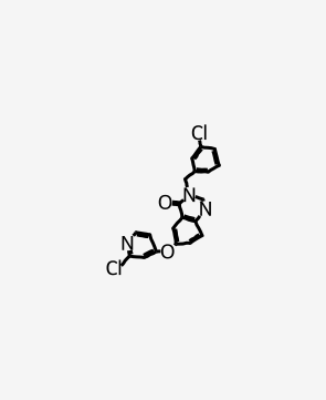 O=c1c2cc(Oc3ccnc(Cl)c3)ccc2ncn1Cc1cccc(Cl)c1